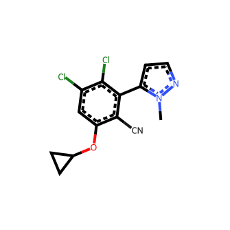 Cn1nccc1-c1c(Cl)c(Cl)cc(OC2CC2)c1C#N